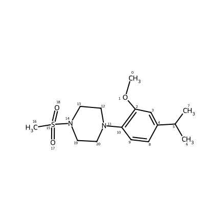 COc1cc(C(C)C)ccc1N1CCN(S(C)(=O)=O)CC1